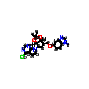 Cn1cnc2cc(OC[C@H]3C[C@@H](n4ccc5c(Cl)ncnc54)[C@@H]4OC(C)(C)O[C@H]34)ccc21